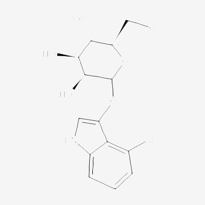 OC[C@H]1OC(Oc2c[nH]c3cccc(Cl)c23)[C@@H](O)[C@@H](O)[C@@H]1O